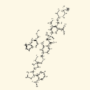 CCOc1nc2[nH]ccc2cc1Oc1cc(N2CCC3(CC2)CC(N2CCC[C@@H]2c2ccccc2C(C)C)C3)ccc1C(=O)NS(=O)(=O)c1cc2c(c([N+](=O)[O-])c1)N[C@@H]([C@H]1CC[C@](C)(O)CC1)CO2